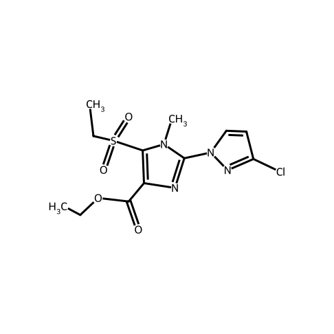 CCOC(=O)c1nc(-n2ccc(Cl)n2)n(C)c1S(=O)(=O)CC